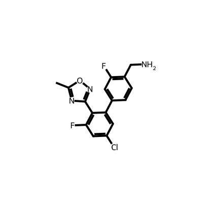 Cc1nc(-c2c(F)cc(Cl)cc2-c2ccc(CN)c(F)c2)no1